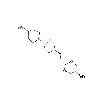 CCCC1CCC([C@H]2OC[C@H](CC[C@H]3OC[C@H](CCC)CO3)CO2)CC1